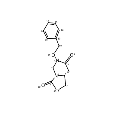 CC(=O)N(CN1CCOC1=O)OCc1ccccc1